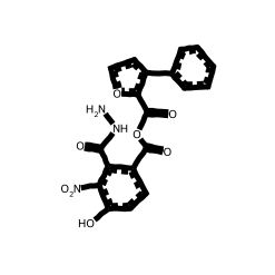 NNC(=O)c1c(C(=O)OC(=O)c2occc2-c2ccccc2)ccc(O)c1[N+](=O)[O-]